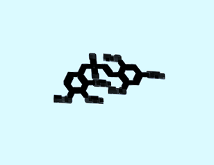 COc1cc(OC)c(C=CS(=O)(=O)Cc2ccc(OC)c(OC)c2OC)c(OC)c1